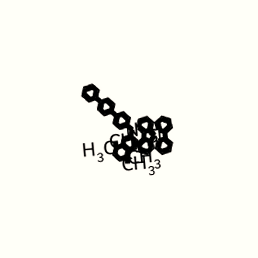 CC1(C)CCC(C)(C)c2cc(N(c3ccc(-c4ccc(-c5ccccc5)cc4)cc3)c3cccc4c3-c3ccccc3[Si]43c4ccccc4-c4ccccc43)ccc21